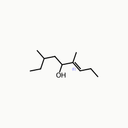 CC/C=C(\C)C(O)CC(C)CC